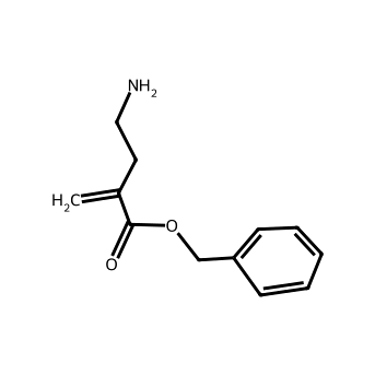 C=C(CCN)C(=O)OCc1ccccc1